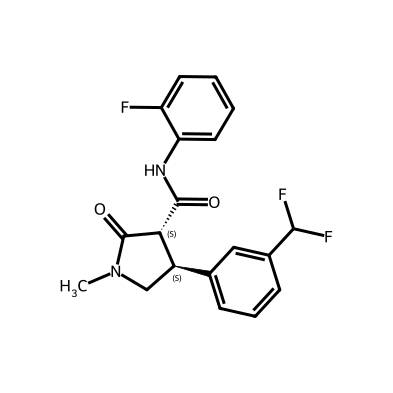 CN1C[C@H](c2cccc(C(F)F)c2)[C@@H](C(=O)Nc2ccccc2F)C1=O